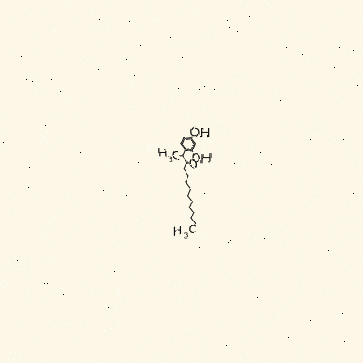 CCCCCCCCCCCC(=O)C(C)c1ccc(O)cc1O